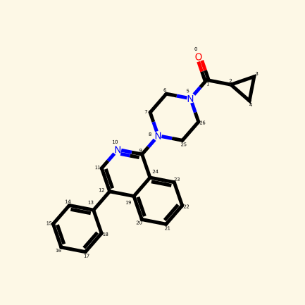 O=C(C1CC1)N1CCN(c2ncc(-c3ccccc3)c3ccccc23)CC1